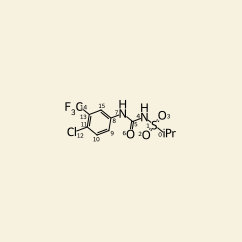 CC(C)S(=O)(=O)NC(=O)Nc1ccc(Cl)c(C(F)(F)F)c1